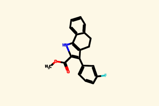 COC(=O)c1[nH]c2c(c1-c1cccc(F)c1)CCc1ccccc1-2